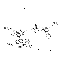 C=C1N(CCC)c2c(cc(-c3cc(C(=O)NCCCCCC(=O)NC4CCN(c5nc(N6CCCCC6)nc(N6CCC(N)CC6)n5)CC4)nc(C(=O)NCCS(=O)(=O)O)c3)c3ccc(S(=O)(=O)O)cc23)C1(C)C